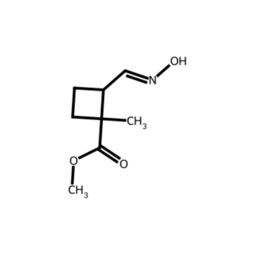 COC(=O)C1(C)CCC1/C=N/O